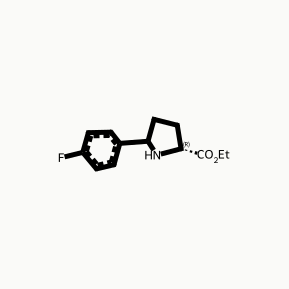 CCOC(=O)[C@H]1CCC(c2ccc(F)cc2)N1